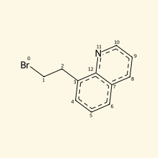 BrCCc1cccc2cccnc12